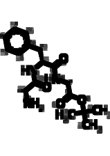 CC(C)(C)OC(=O)CNC(=O)[C@H](Cc1ccccc1)NC(=O)CN